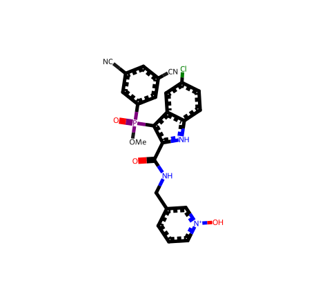 COP(=O)(c1cc(C#N)cc(C#N)c1)c1c(C(=O)NCc2ccc[n+](O)c2)[nH]c2ccc(Cl)cc12